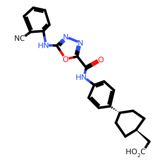 N#Cc1ccccc1Nc1nnc(C(=O)Nc2ccc([C@H]3CC[C@H](CC(=O)O)CC3)cc2)o1